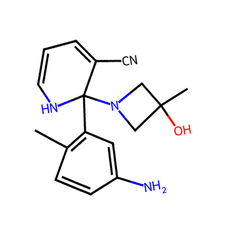 Cc1ccc(N)cc1C1(N2CC(C)(O)C2)NC=CC=C1C#N